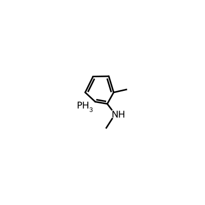 CNc1ccccc1C.P